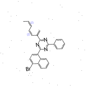 C=C(/C=C\C=C/C)c1nc(-c2ccccc2)nc(-c2ccc(Br)c3ccccc23)n1